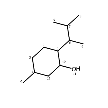 CC1CCC(C(C)C(C)C)C(O)C1